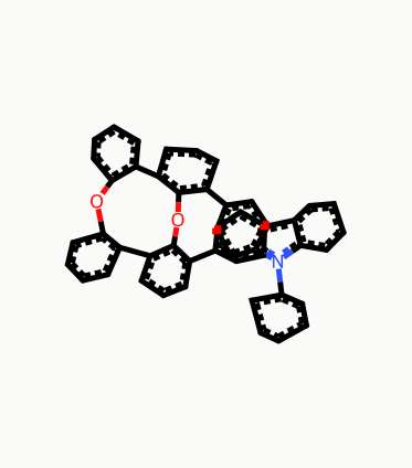 c1ccc(-c2cccc3c2Oc2c(-c4ccc5c(c4)c4ccccc4n5-c4ccccc4)cccc2-c2ccccc2Oc2ccccc2-3)cc1